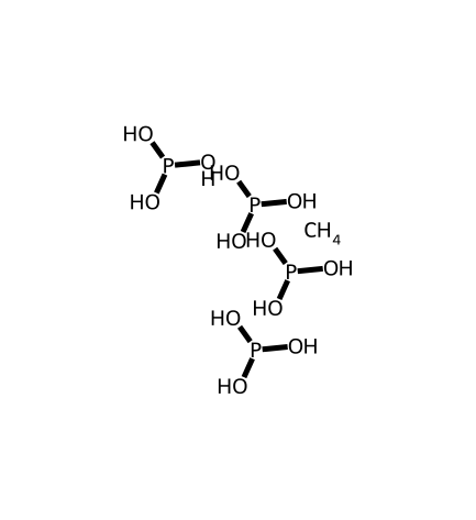 C.OP(O)O.OP(O)O.OP(O)O.OP(O)O